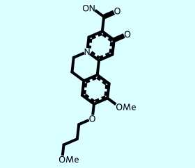 COCCCOc1cc2c(cc1OC)-c1cc(=O)c(C(=O)N=O)cn1CC2